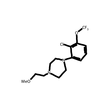 COCCN1CCN(c2cccc(OC(F)(F)F)c2Cl)CC1